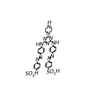 O=S(=O)(O)c1ccc(N=Nc2ccc(Nc3nc(Nc4ccc(N=Nc5ccc(S(=O)(=O)O)cc5)cc4)nc(N4CCNCC4)n3)cc2)cc1